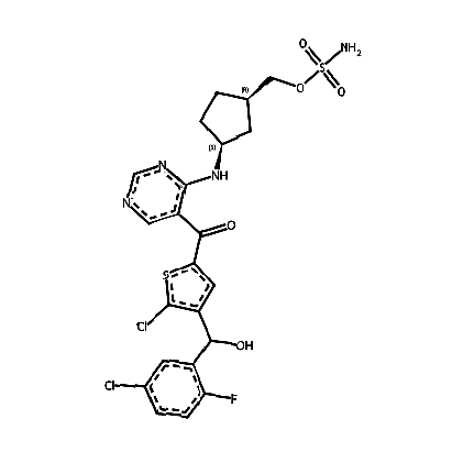 NS(=O)(=O)OC[C@@H]1CC[C@H](Nc2ncncc2C(=O)c2cc(C(O)c3cc(Cl)ccc3F)c(Cl)s2)C1